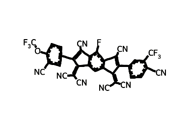 N#CC(C#N)=C1C(c2ccc(OC(F)(F)F)c(C#N)c2)=C(C#N)c2c1cc1c(c2F)C(C#N)=C(c2ccc(C#N)c(C(F)(F)F)c2)C1=C(C#N)C#N